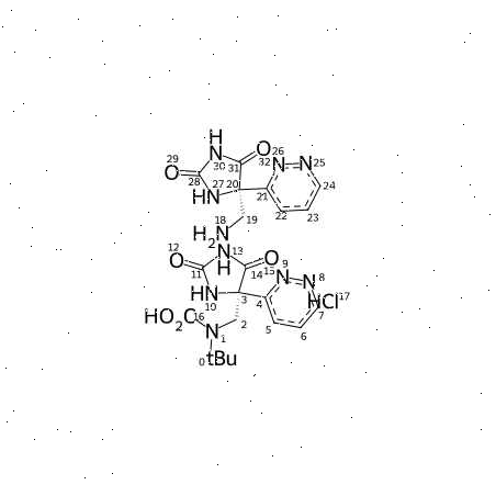 CC(C)(C)N(C[C@]1(c2cccnn2)NC(=O)NC1=O)C(=O)O.Cl.NC[C@]1(c2cccnn2)NC(=O)NC1=O